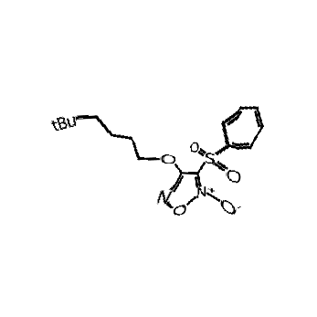 CC(C)(C)CCCCOc1no[n+]([O-])c1S(=O)(=O)c1ccccc1